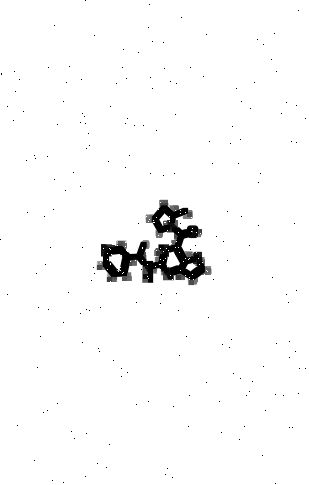 CC(Nc1nc(C(=O)N2CCCC2C)c2sccc2n1)c1cccnc1